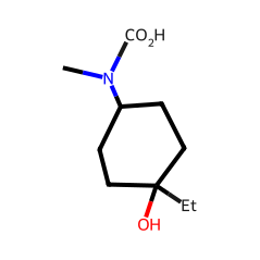 CCC1(O)CCC(N(C)C(=O)O)CC1